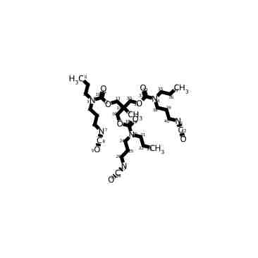 CCCN(CCCN=C=O)C(=O)OCC(C)(COC(=O)N(CCC)CCCN=C=O)COC(=O)N(CCC)CCCN=C=O